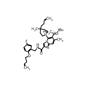 C=CCCOc1ccc(F)cc1CNC(=O)c1cn2c(N3CCC(C)(CCC=C)CC3)c([C@H](OC(C)(C)C)C(=O)O)c(C)cc2n1